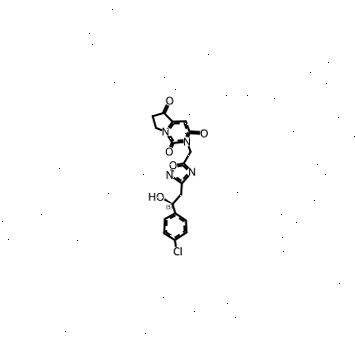 O=C1CCn2c1cc(=O)n(Cc1nc(C[C@H](O)c3ccc(Cl)cc3)no1)c2=O